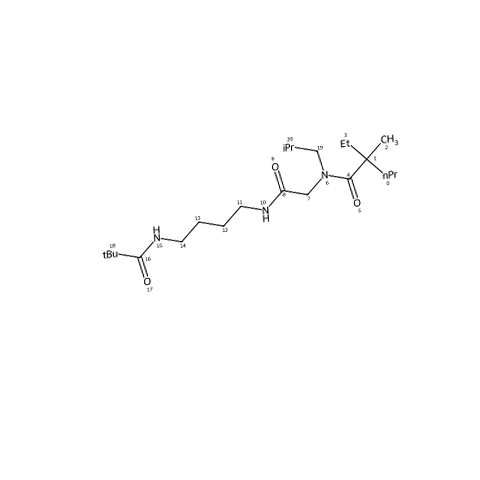 CCCC(C)(CC)C(=O)N(CC(=O)NCCCCNC(=O)C(C)(C)C)CC(C)C